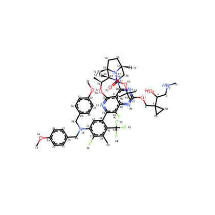 CNCC(O)C1(COc2nc3c4c(nc(-c5cc(N(Cc6ccc(OC)cc6)Cc6ccc(OC)cc6)c(F)c(C)c5C(F)(F)F)c(F)c4n2)O[C@@H](C)[C@@H]2[C@@H]4CC[C@H](CN32)N4C(=O)OC(C)(C)C)CC1